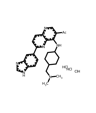 CC(=O)c1cnc2ccc(-c3ccc4[nH]cnc4c3)nc2c1NC1CCC(CN(C)C)CC1.Cl.Cl.Cl